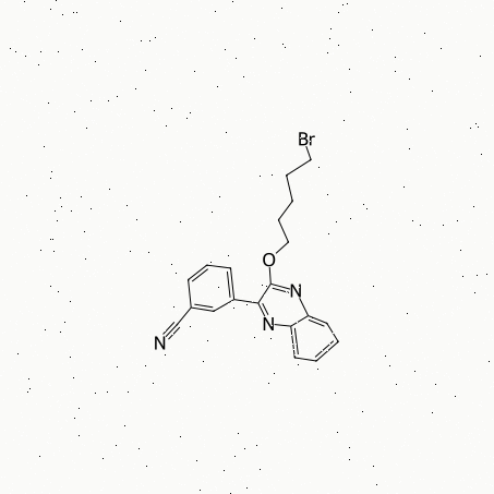 N#Cc1cccc(-c2nc3ccccc3nc2OCCCCCBr)c1